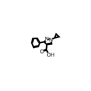 O=C(O)c1cn(C2CC2)nc1-c1ccccc1